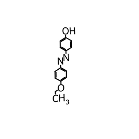 CCOc1ccc(N=Nc2ccc(O)cc2)cc1